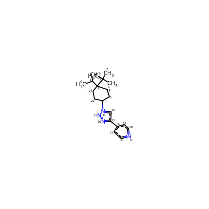 CC(C)C1(C(C)(C)C)CCC(n2cc(-c3ccncc3)nn2)CC1